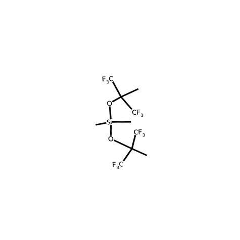 CC(O[Si](C)(C)OC(C)(C(F)(F)F)C(F)(F)F)(C(F)(F)F)C(F)(F)F